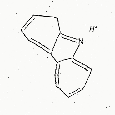 C1=CCC2=Nc3ccccc3C2=C1.[H+]